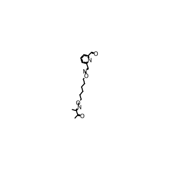 CC(=O)/C(C)=N/OCCCCCCO/N=C/c1cccc(C=O)n1